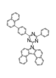 c1ccc(-c2nc(-c3ccc(-c4cccc5ccccc45)cc3)nc(-n3c4ccc5ccccc5c4c4c5ccccc5ccc43)n2)cc1